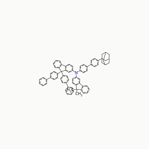 CC1(C)c2ccccc2-c2cc(N(c3ccc(-c4ccc(C56CC7CC(CC(C7)C5)C6)cc4)cc3)c3ccc4c(c3)C(c3ccc(-c5ccccc5)cc3)(c3ccc(-c5ccccc5)cc3)c3ccccc3-4)ccc21